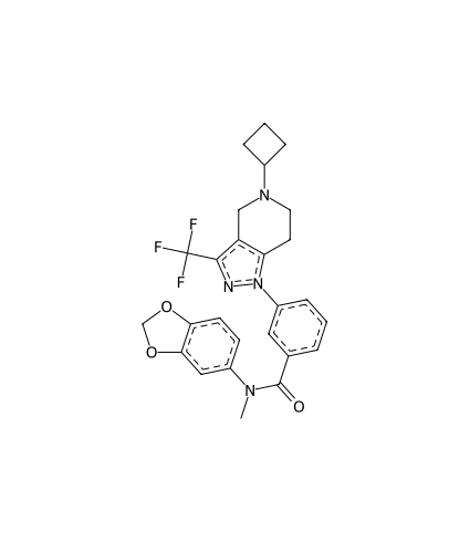 CN(C(=O)c1cccc(-n2nc(C(F)(F)F)c3c2CCN(C2CCC2)C3)c1)c1ccc2c(c1)OCO2